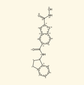 O=C(NC1CCc2ccccc21)c1ccc2sc(C(=O)NO)cc2c1